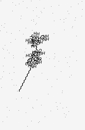 CCCCCCCCCCCCCCCCNC(=O)NC[C@H]1O[C@H](OC(C(NCCCNC(=O)C(NC(=O)C(NC(=O)NC(C(=O)O)C(C)C)C2CCNC(=N)N2)C(O)C(C)C)C(=O)O)[C@H]2O[C@@H](n3ccc(=O)[nH]c3=O)[C@H](O)[C@@H]2O)[C@H](OC)[C@H]1O